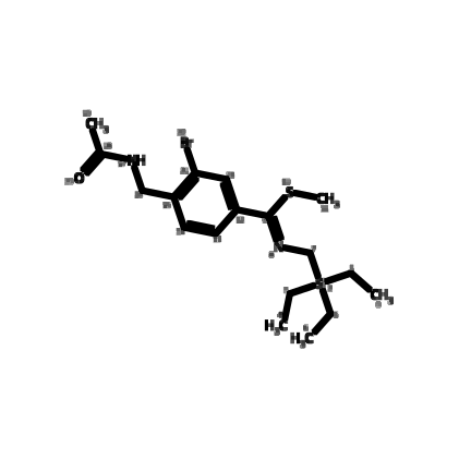 CC[Si](CC)(CC)CN=C(SC)c1ccc(CNC(C)=O)c(Br)c1